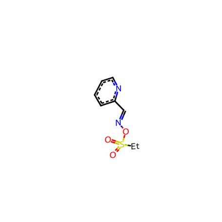 CCS(=O)(=O)ON=Cc1ccccn1